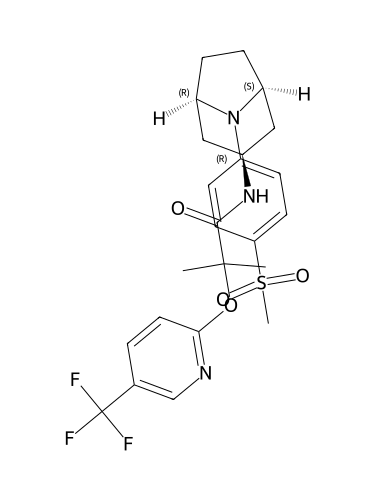 CC(C)(Oc1ccc(C(F)(F)F)cn1)C(=O)N[C@H]1C[C@H]2CC[C@@H](C1)N2c1ccc(S(C)(=O)=O)cc1